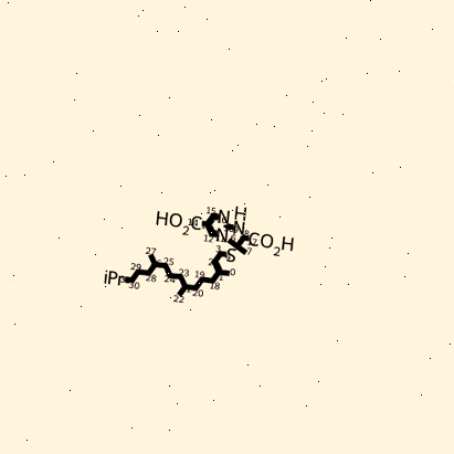 C/C(=C\CSC(C)(C)C(Nc1ncc(C(=O)O)cn1)C(=O)O)CCCC(C)CCCC(C)CCCC(C)C